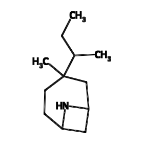 CCC(C)C1(C)CCC2CC(C1)N2